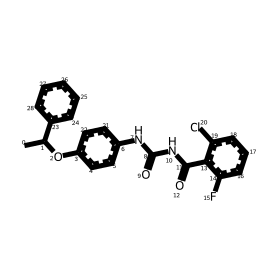 CC(Oc1ccc(NC(=O)NC(=O)c2c(F)cccc2Cl)cc1)c1ccccc1